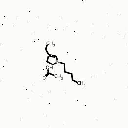 CC(=O)O.CCCCCN1C=C(CC)CC1